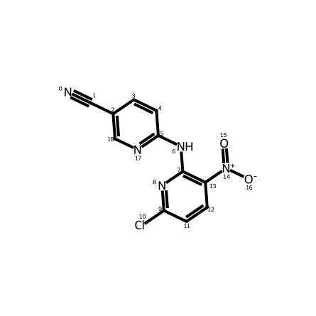 N#Cc1ccc(Nc2nc(Cl)ccc2[N+](=O)[O-])nc1